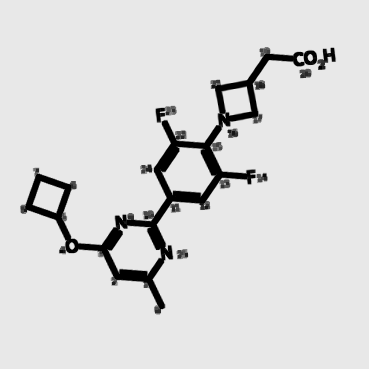 Cc1cc(OC2CCC2)nc(-c2cc(F)c(N3CC(CC(=O)O)C3)c(F)c2)n1